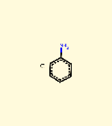 Nc1ccccc1.[C]